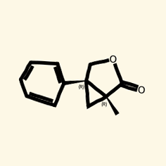 C[C@@]12C[C@]1(c1ccccc1)COC2=O